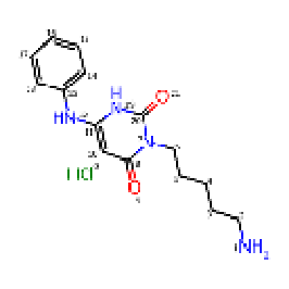 Cl.NCCCCCn1c(=O)cc(Nc2ccccc2)[nH]c1=O